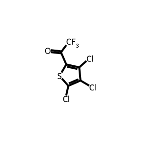 O=C(c1sc(Cl)c(Cl)c1Cl)C(F)(F)F